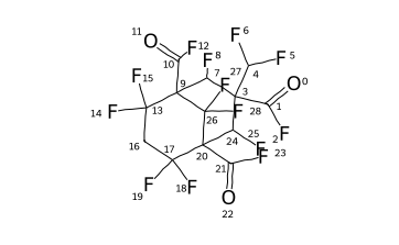 O=C(F)C1(C(F)F)C(F)C2(C(=O)F)C(F)(F)CC(F)(F)C(C(=O)F)(C1F)C2(F)F